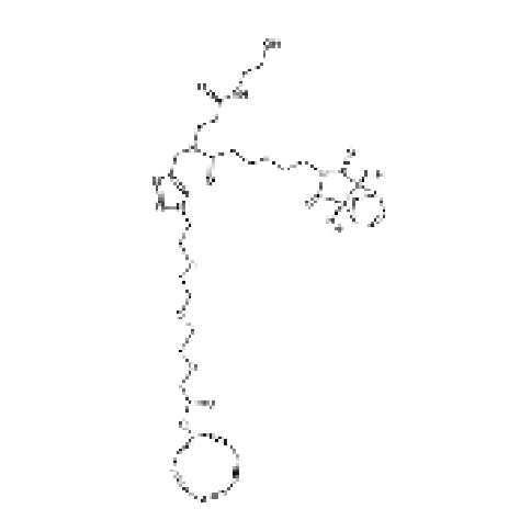 O=C(CCN(Cc1cn(CCOCCOCCOCC(=O)Oc2ccccccccc2)nn1)C(=O)CCCCCN1C(=O)[C@@H]2[C@H](C1=O)[C@H]1C=C[C@@H]2C1)NCCO